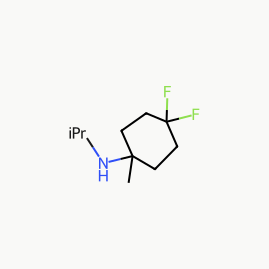 CC(C)NC1(C)CCC(F)(F)CC1